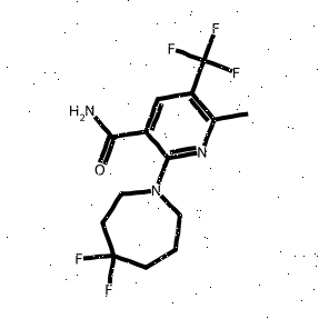 Cc1nc(N2CCCC(F)(F)CC2)c(C(N)=O)cc1C(F)(F)F